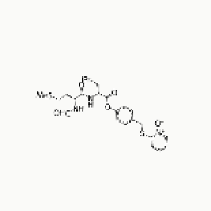 CSCC[C@H](NC=O)C(=O)N[C@@H](CC(C)C)C(=O)Oc1ccc(CSc2cccc[n+]2[O-])cc1